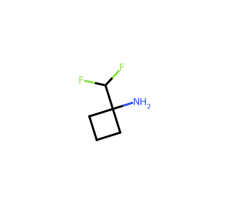 NC1(C(F)F)CCC1